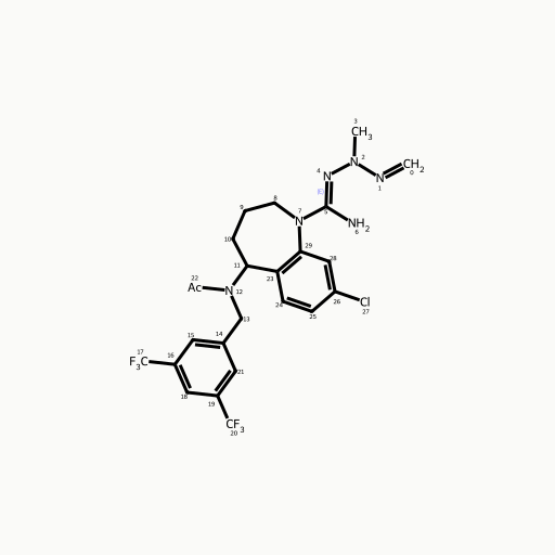 C=NN(C)/N=C(\N)N1CCCC(N(Cc2cc(C(F)(F)F)cc(C(F)(F)F)c2)C(C)=O)c2ccc(Cl)cc21